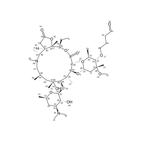 CC[C@H]1OC(=O)[C@H](C)[C@@H](O[C@H]2C[C@@](C)(OC)[C@@H](OCCCC=O)[C@H](C)O2)[C@H](C)[C@@H](O[C@@H]2O[C@H](C)C[C@H](N(C)C)[C@H]2O)[C@](C)(O)C[C@@H](C)CN(C)[C@H](C)[C@H]2CC(=O)O[C@@]21C